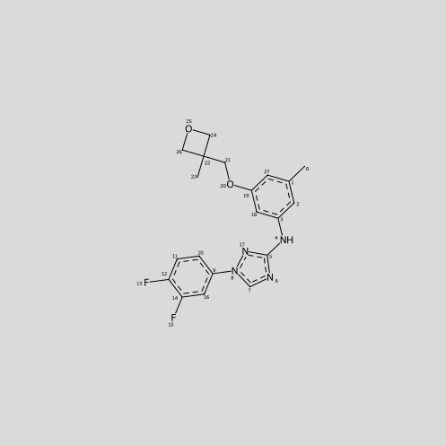 Cc1cc(Nc2ncn(-c3ccc(F)c(F)c3)n2)cc(OCC2(C)COC2)c1